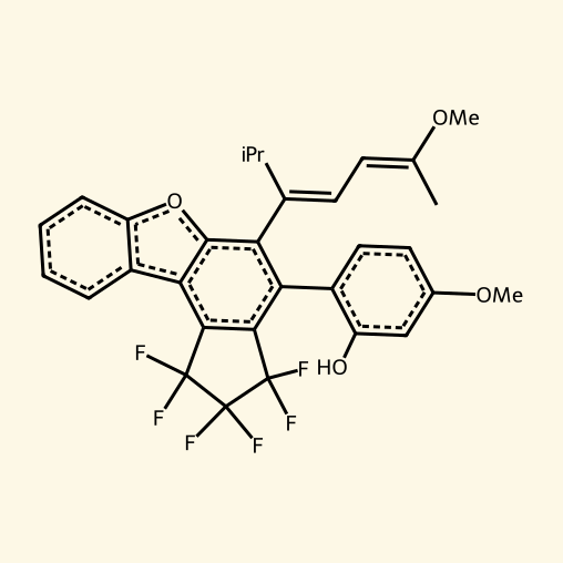 CO/C(C)=C/C=C(/c1c(-c2ccc(OC)cc2O)c2c(c3c1oc1ccccc13)C(F)(F)C(F)(F)C2(F)F)C(C)C